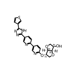 O[C@@H]1CO[C@H]2[C@@H]1OC[C@@H]2Oc1ccc(-c2ccc(-c3nnc(-c4ccsc4)[nH]3)cn2)cn1